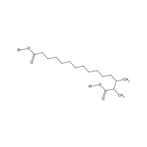 CC(C)OC(=O)CCCCCCCCCCCC(C)C(C)C(=O)OC(C)C